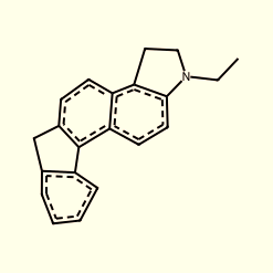 CCN1CCc2c1ccc1c3c(ccc21)Cc1ccccc1-3